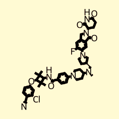 CN(C[C@H]1CCN(c2cc3c(cc2F)CN(C2CCC(=O)NC2=O)C3=O)C1)C1CCN(c2ccc(C(=O)NC3C(C)(C)C(Oc4ccc(C#N)c(Cl)c4)C3(C)C)cc2)CC1